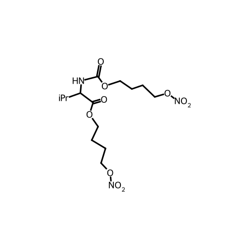 CC(C)C(NC(=O)OCCCCO[N+](=O)[O-])C(=O)OCCCCO[N+](=O)[O-]